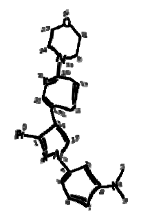 CC(C)c1nn(-c2cccc(N(C)C)c2)cc1-c1ccc(N2CCOCC2)nc1